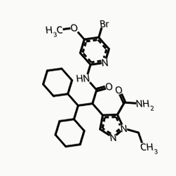 CCn1ncc(C(C(=O)Nc2cc(OC)c(Br)cn2)C(C2CCCCC2)C2CCCCC2)c1C(N)=O